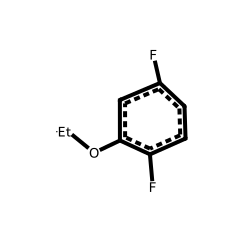 C[CH]Oc1cc(F)ccc1F